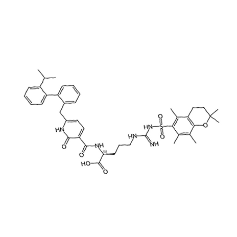 Cc1c(C)c(S(=O)(=O)NC(=N)NCCC[C@H](NC(=O)c2ccc(Cc3ccccc3-c3ccccc3C(C)C)[nH]c2=O)C(=O)O)c(C)c2c1OC(C)(C)CC2